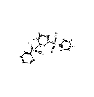 O=S(=O)(c1ccccc1)c1cc(S(=O)(=O)c2ccccc2)nnn1